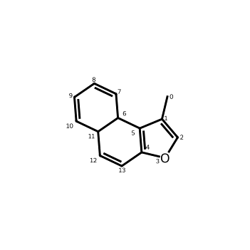 Cc1coc2c1C1C=CC=CC1C=C2